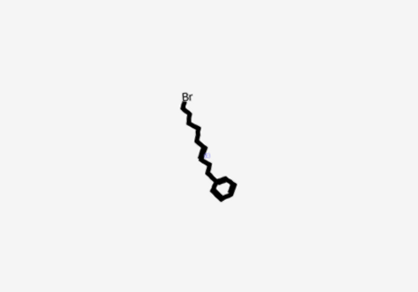 BrCCCCC/C=C/CCc1ccccc1